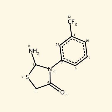 NC1SCC(=O)N1c1cccc(C(F)(F)F)c1